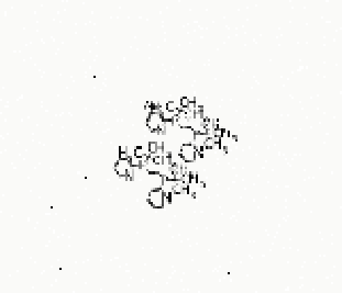 CC(C)(C)P(CCP(c1ccccn1)C(C)(C)C)c1ccccn1.CC(C)(C)P(CCP(c1ccccn1)C(C)(C)C)c1ccccn1.[Au]